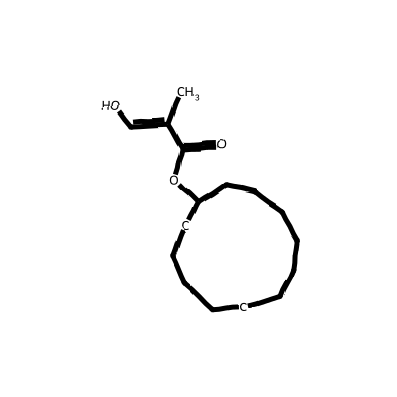 CC(=CO)C(=O)OC1CCCCCCCCCCC1